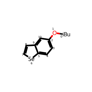 CCC(C)Oc1ccc2[se]ccc2c1